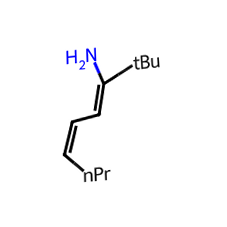 CCC/C=C\C=C(/N)C(C)(C)C